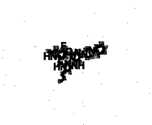 C/C=C/c1cc(Nc2cc(N3CCN(c4ccccc4)CC3)nc(Oc3cc(F)c4[nH]c(C)cc4c3F)n2)n[nH]1